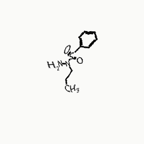 CCCN(N)S(=O)(=O)c1ccccc1